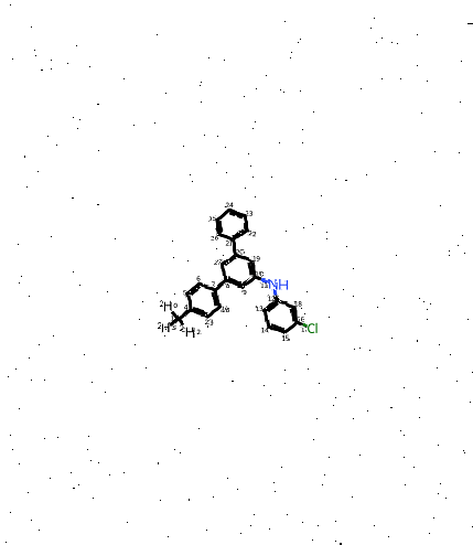 [2H]C([2H])([2H])c1ccc(-c2cc(Nc3cccc(Cl)c3)cc(-c3ccccc3)c2)cc1